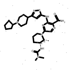 C[C@@H]1[C@H](NC(=O)N(C)C)CCCN1c1cnc(C(N)=O)c(Nc2cc(C3CCN(C4CCCC4)CC3)ns2)n1